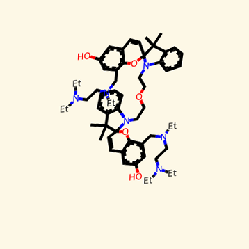 CCN(CC)CCN(CC)Cc1cc(O)cc2c1OC1(C=C2)N(CCOCCN2c3ccccc3C(C)(C)C23C=Cc2cc(O)cc(CN(CC)CCN(CC)CC)c2O3)c2ccccc2C1(C)C